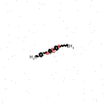 CCCCCCCOc1ccc(C(=O)Oc2ccc(OCCC[C@H]3CC[C@H](CCC)CC3)cc2)cc1